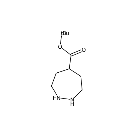 CC(C)(C)OC(=O)C1CCNNCC1